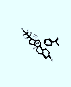 C=C(C)c1ccc([C@H]2C[C@@]3(C)[C@@H](CC[C@@]3(O)C(F)(F)C(F)(F)F)[C@@H]3CCC4=CC(=O)CCC4=C32)cc1